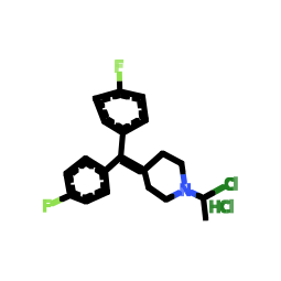 CC(Cl)N1CCC(=C(c2ccc(F)cc2)c2ccc(F)cc2)CC1.Cl